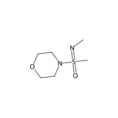 CN=S(C)(=O)N1CCOCC1